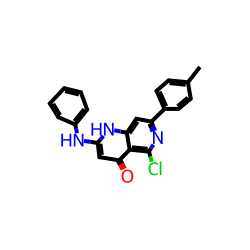 Cc1ccc(-c2cc3[nH]c(Nc4ccccc4)cc(=O)c3c(Cl)n2)cc1